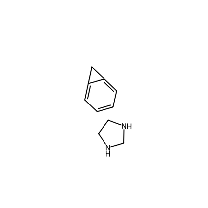 C1CNCN1.c1ccc2c(c1)C2